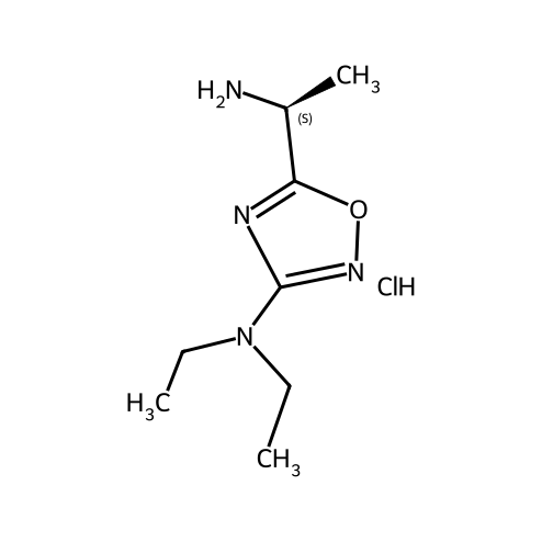 CCN(CC)c1noc([C@H](C)N)n1.Cl